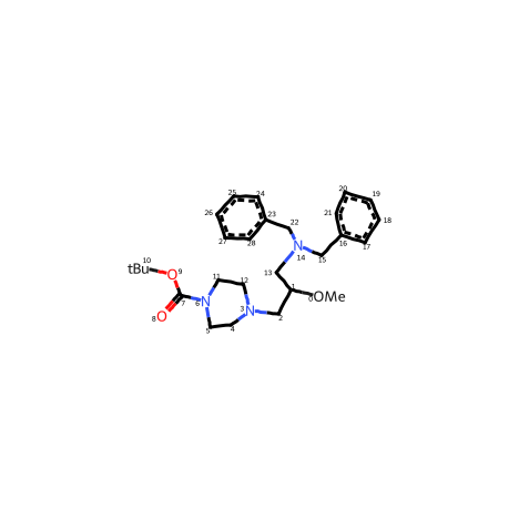 COC(CN1CCN(C(=O)OC(C)(C)C)CC1)CN(Cc1ccccc1)Cc1ccccc1